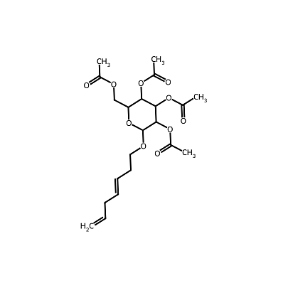 C=CC/C=C/CCOC1OC(COC(C)=O)C(OC(C)=O)C(OC(C)=O)C1OC(C)=O